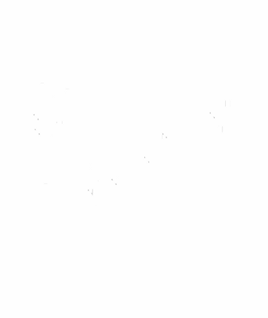 CN(C)CCCN1CCN(CCNC(=O)N(Cc2ccc(-c3nnc(C(F)F)o3)cc2F)c2ccccc2)CC1